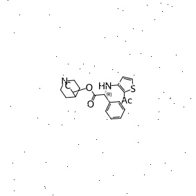 CC(=O)c1sccc1N[C@@H](C(=O)OC1CN2CCC1CC2)c1ccccc1